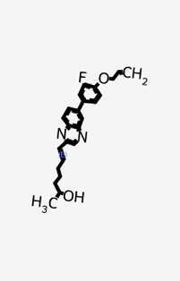 C=CCOc1ccc(-c2ccc3nc(/C=C/CCCC(C)O)cnc3c2)cc1F